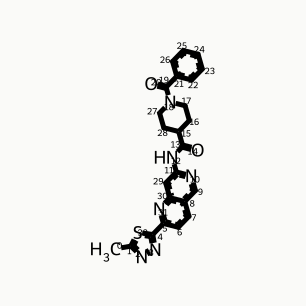 Cc1nnc(-c2ccc3cnc(NC(=O)C4CCN(C(=O)c5ccccc5)CC4)cc3n2)s1